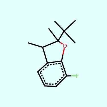 CC1c2cccc(F)c2OC1(C)C(C)(C)C